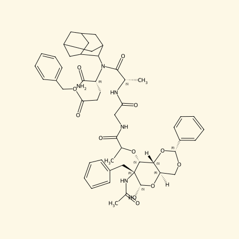 CC(=O)N[C@]1(Cc2ccccc2)[C@H](OC(C)C(=O)NCC(=O)N[C@@H](C)C(=O)N(C2C3CC4CC(C3)CC2C4)[C@H](CCC(=O)OCc2ccccc2)C(N)=O)[C@@H]2O[C@H](c3ccccc3)OC[C@H]2O[C@@H]1O